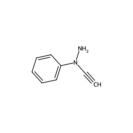 C#CN(N)c1ccccc1